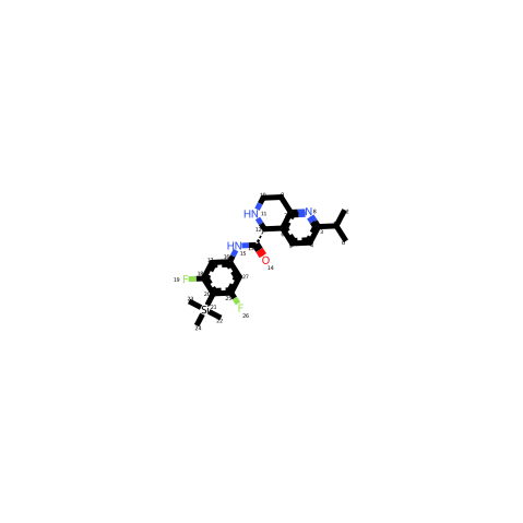 CC(C)c1ccc2c(n1)CCN[C@H]2C(=O)Nc1cc(F)c([Si](C)(C)C)c(F)c1